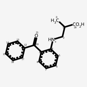 CC(CNc1ccccc1C(=O)c1ccccc1)C(=O)O